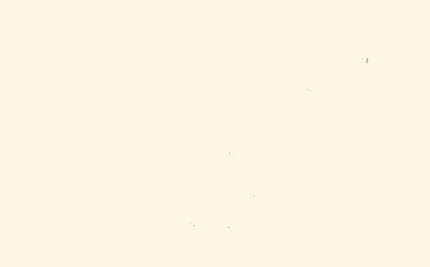 CC1(N)CCN(C2CCC(n3cc(-c4ccc(Oc5ccccc5)cc4)c4c(N)ncnc43)CC2)CC1